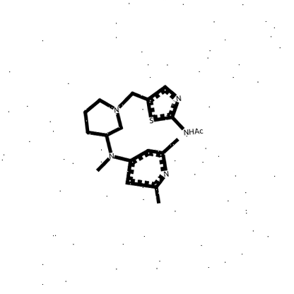 CC(=O)Nc1ncc(CN2CCCC(N(C)c3cc(C)nc(C)c3)C2)s1